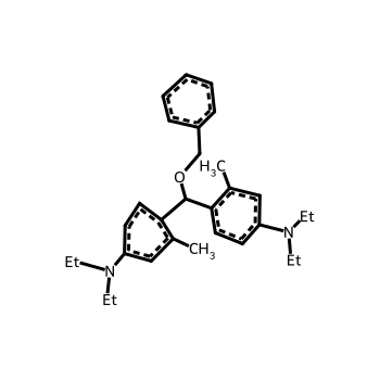 CCN(CC)c1ccc(C(OCc2ccccc2)c2ccc(N(CC)CC)cc2C)c(C)c1